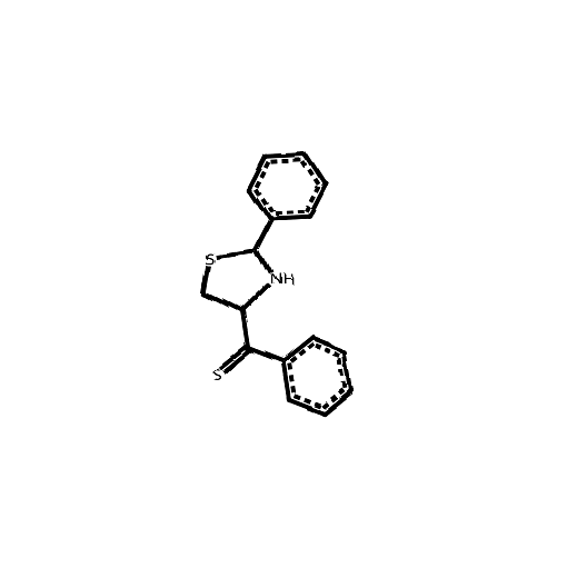 S=C(c1ccccc1)C1CSC(c2ccccc2)N1